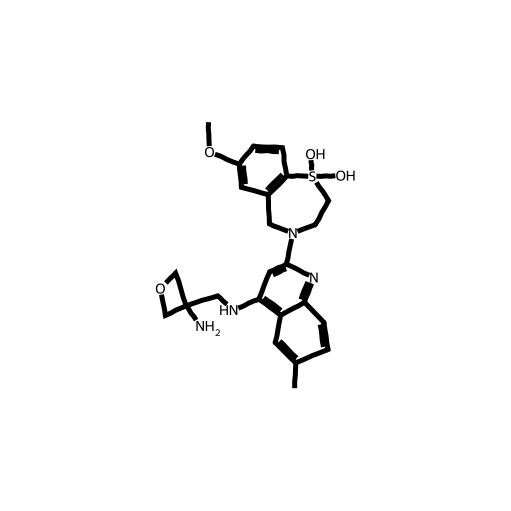 COc1ccc2c(c1)CN(c1cc(NCC3(N)COC3)c3cc(C)ccc3n1)CCS2(O)O